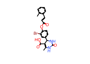 CC1=C(C(=O)O)C(c2ccc(OC(=O)C=Cc3ccccc3C)c(Br)c2)NC(=O)N1